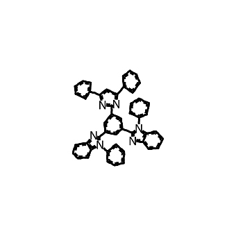 c1ccc(-c2cc(-c3ccccc3)nc(-c3cc(-c4nc5ccccc5n4-c4ccccc4)cc(-c4nc5ccccc5n4-c4ccccc4)c3)n2)cc1